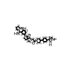 CN/C=N\C(=N)c1ccc(C2=CCN(C(=O)CN3CC[C@]4(CCN(c5ccc(N)c(C(=N)N6CCCC6)c5)C4=O)C3)CC2)cc1